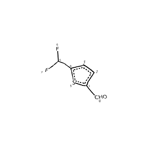 O=Cc1ccc(C(F)F)s1